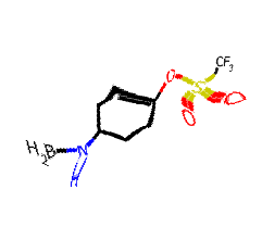 BNC1CC=C(OS(=O)(=O)C(F)(F)F)CC1